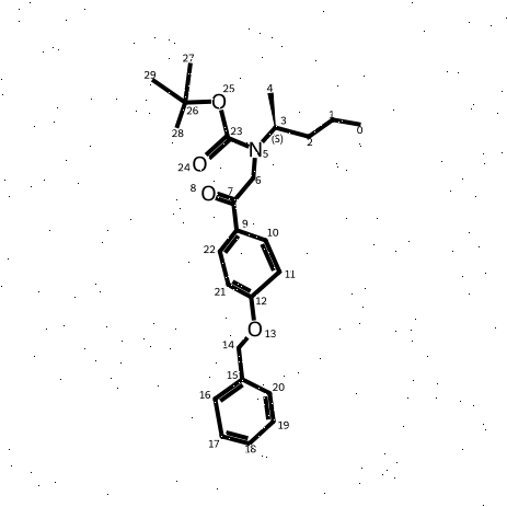 CCC[C@H](C)N(CC(=O)c1ccc(OCc2ccccc2)cc1)C(=O)OC(C)(C)C